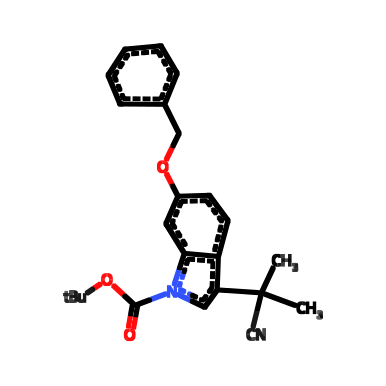 CC(C)(C)OC(=O)n1cc(C(C)(C)C#N)c2ccc(OCc3ccccc3)cc21